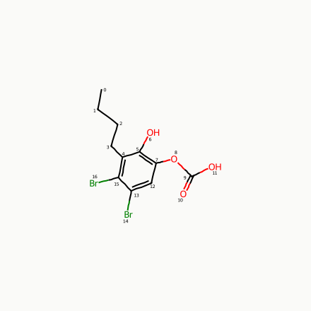 CCCCc1c(O)c(OC(=O)O)cc(Br)c1Br